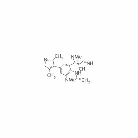 C=CNc1c(NC)cc(C2=C(C)CN=C2C)cc1/C(NC)=C(\C)C=N